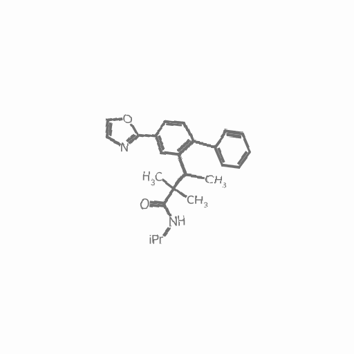 CC(C)NC(=O)C(C)(C)C(C)c1cc(-c2ncco2)ccc1-c1ccccc1